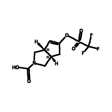 O=C(O)N1C[C@H]2CC(OS(=O)(=O)C(F)(F)F)=C[C@H]2C1